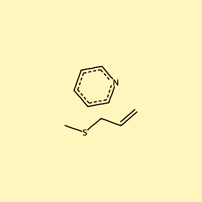 C=CCSC.c1ccncc1